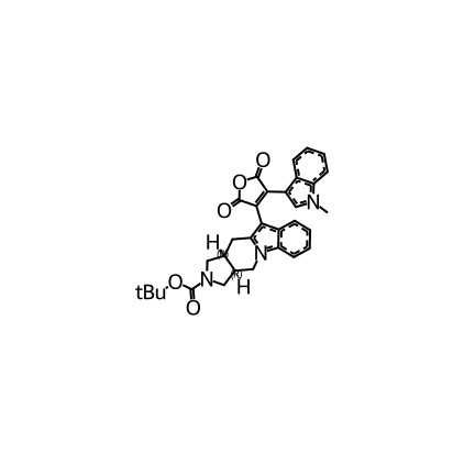 Cn1cc(C2=C(c3c4n(c5ccccc35)C[C@H]3CN(C(=O)OC(C)(C)C)C[C@@H]3C4)C(=O)OC2=O)c2ccccc21